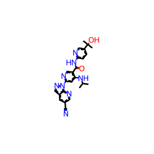 CC(C)Nc1cc(-n2ncc3cc(C#N)cnc32)ncc1C(=O)Nc1ccc(C(C)(C)O)cn1